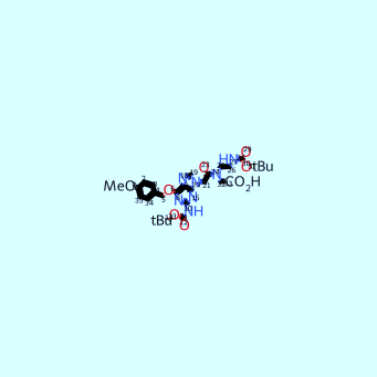 COc1ccc(COc2nc(NC(=O)OC(C)(C)C)nc3c2ncn3CC(=O)N(CCNC(=O)OC(C)(C)C)CC(=O)O)cc1